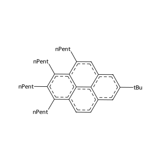 CCCCCc1c(CCCCC)c2ccc3cc(C(C)(C)C)cc4cc(CCCCC)c(c1CCCCC)c2c34